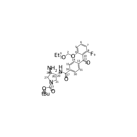 CCOCOc1cccc(F)c1C(=O)c1ccc(C(=O)N[C@@H]2CN(C(=O)OC(C)(C)C)C[C@H]2N)cc1